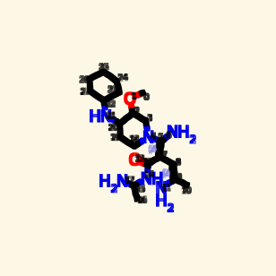 COC1CN(/C(N)=C(/C=C(/C)N)C(=O)NC(C)N)CCC1NC1CCCCC1